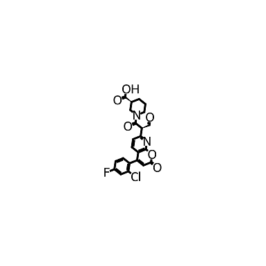 O=C[C@H](C(=O)N1CCC[C@H](C(=O)O)C1)c1ccc2c(-c3ccc(F)cc3Cl)cc(=O)oc2n1